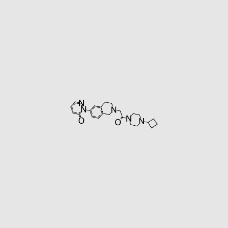 O=C(CN1CCc2cc(-n3ncccc3=O)ccc2C1)N1CCN(C2CCC2)CC1